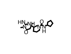 CN1C(=N)N[C@](C)(C2CCCN(C(=O)NC3CCCC3)C2)CC1=O